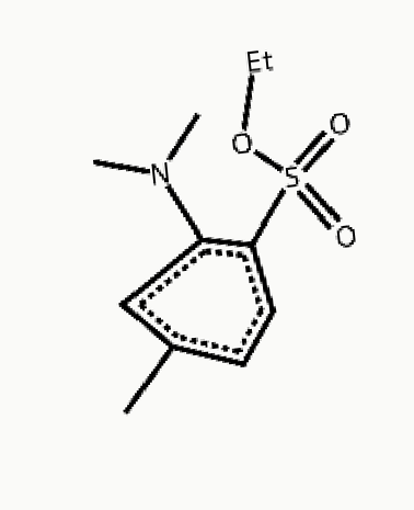 CCOS(=O)(=O)c1ccc(C)cc1N(C)C